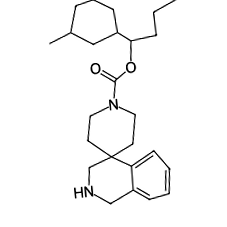 CCCC(OC(=O)N1CCC2(CC1)CNCc1ccccc12)C1CCCC(C)C1